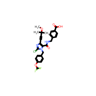 COC(C)(C)C#Cc1nc(Cl)n(Cc2ccc(OC(F)F)cc2)c1C(=O)NCc1ccc(C(=O)O)cc1